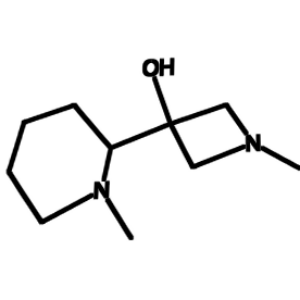 CN1CC(O)(C2CCCCN2C)C1